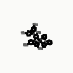 CC(C)(C)c1ccc2c(c1)c1c(n2C2CC(n3c4c(c5cc(C(C)(C)C)ccc53)CC(C(C)(C)C)C=C4)C(C3NC(C4C=CCC5C6=CC=CCC6SC54)N3c3ccccc3)CC2C#N)CCC(C(C)(C)C)C1